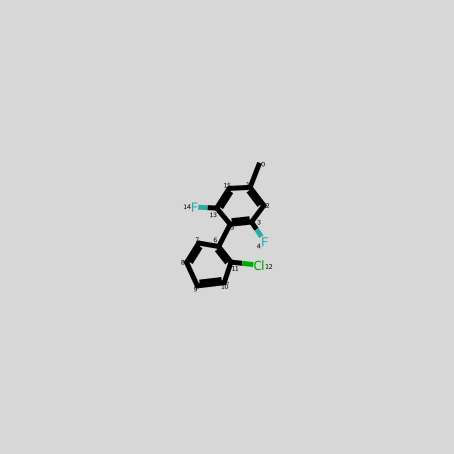 Cc1cc(F)c(-c2ccc[c]c2Cl)c(F)c1